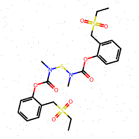 CCS(=O)(=O)Cc1ccccc1OC(=O)N(C)SN(C)C(=O)Oc1ccccc1CS(=O)(=O)CC